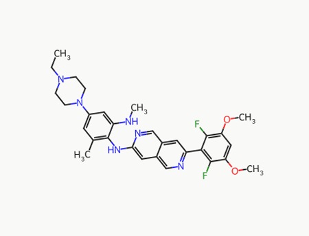 CCN1CCN(c2cc(C)c(Nc3cc4cnc(-c5c(F)c(OC)cc(OC)c5F)cc4cn3)c(NC)c2)CC1